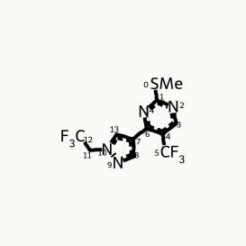 CSc1ncc(C(F)(F)F)c(-c2cnn(CC(F)(F)F)c2)n1